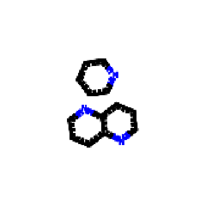 c1ccncc1.c1cnc2cccnc2c1